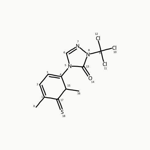 CC1=CC=C(n2cnn(C(Cl)(Cl)Cl)c2=O)C(C)C1=S